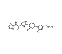 CC(=O)NC[C@H]1CN(c2ccc(-c3nc(C(=O)Nc4nccs4)c[nH]3)c(F)c2)C(=O)O1